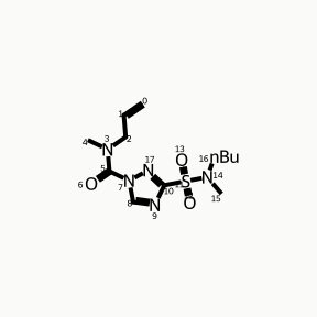 C=CCN(C)C(=O)n1cnc(S(=O)(=O)N(C)CCCC)n1